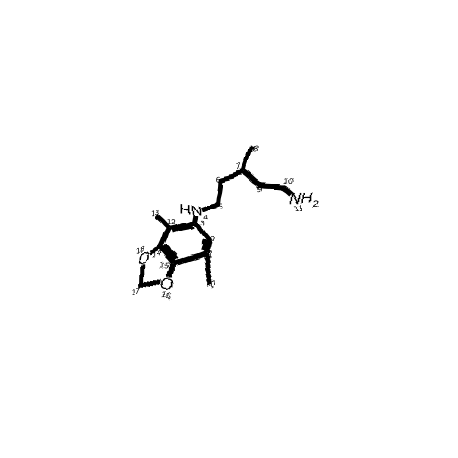 Cc1cc(NCCC(C)CCN)c(C)c2c1OCO2